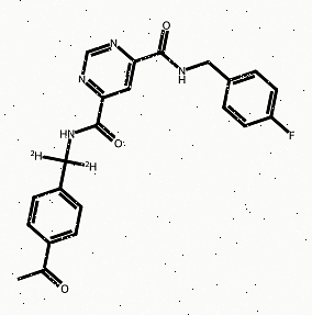 [2H]C([2H])(NC(=O)c1cc(C(=O)NCc2ccc(F)cc2)ncn1)c1ccc(C(C)=O)cc1